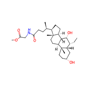 CC[C@H]1[C@@H](O)[C@@H]2[C@H](CC[C@]3(C)[C@@H]([C@H](C)CCC(=O)NCC(=O)OC)CC[C@@H]23)[C@@]2(C)CC[C@@H](O)C[C@@H]12